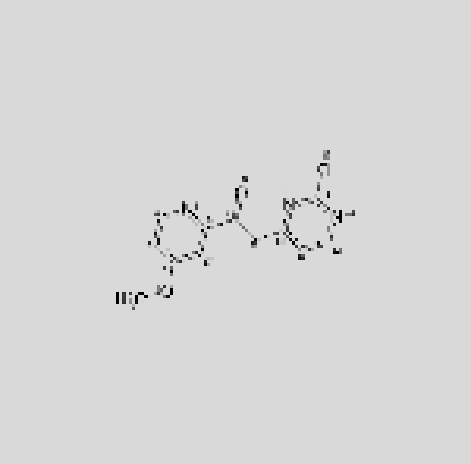 COc1ccnc(C(=O)Cc2ccnc(Cl)n2)c1